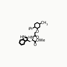 COC(=O)[C@H](Cc1c[nH]c2ccccc12)NC(=O)COC1CC(C)CCC1C(C)C